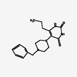 CCCc1[nH]c(=O)[nH]c(=O)c1N1CCN(Cc2ccccc2)CC1